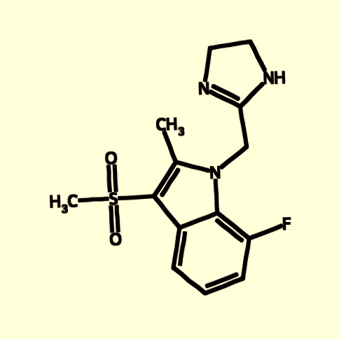 Cc1c(S(C)(=O)=O)c2cccc(F)c2n1CC1=NCCN1